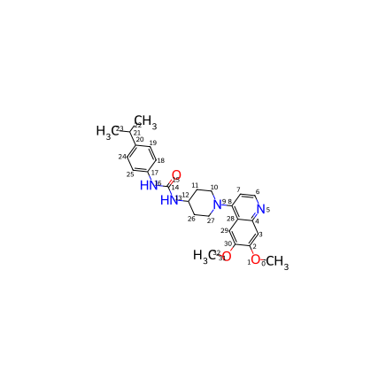 COc1cc2nccc(N3CCC(NC(=O)Nc4ccc(C(C)C)cc4)CC3)c2cc1OC